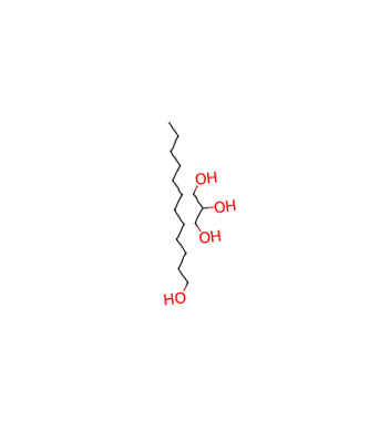 CCCCCCCCCCCCO.OCC(O)CO